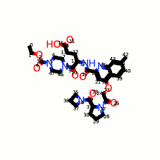 CCOC(=O)N1CCN(C(=O)C(CCC(=O)O)NC(=O)c2cc(OCC(=O)N3CCCC3C(=O)N3CCC3)c3ccc(C)cc3n2)CC1